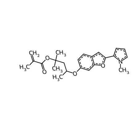 C=C(C)C(=O)OC(C)(C)CC(C)Oc1ccc2cc(-c3cccn3C)oc2c1